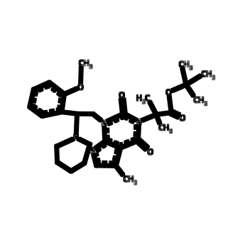 COc1ccccc1C(Cn1c(=O)n(C(C)(C)C(=O)OC(C)(C)C)c(=O)c2c(C)csc21)N1CCCCC1